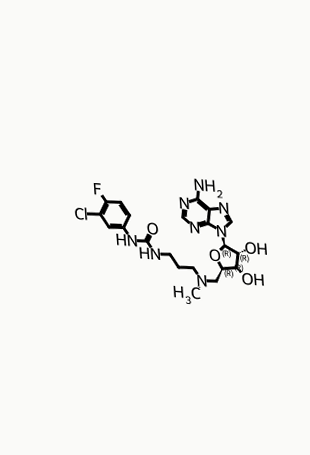 CN(CCCNC(=O)Nc1ccc(F)c(Cl)c1)C[C@H]1O[C@@H](n2cnc3c(N)ncnc32)[C@H](O)[C@H]1O